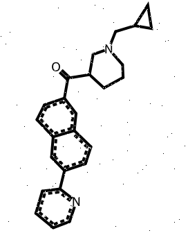 O=C(c1ccc2cc(-c3ccccn3)ccc2c1)C1CCCN(CC2CC2)C1